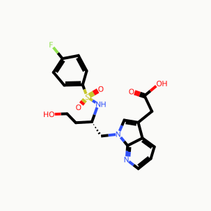 O=C(O)Cc1cn(C[C@H](CCO)NS(=O)(=O)c2ccc(F)cc2)c2ncccc12